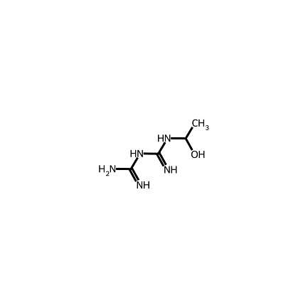 CC(O)NC(=N)NC(=N)N